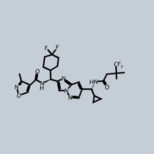 Cc1nocc1C(=O)N[C@H](c1cn2ncc([C@H](NC(=O)CC(C)(C)C(F)(F)F)C3CC3)cc2n1)C1CCC(F)(F)CC1